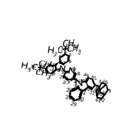 CC(C)(C)c1ccc2c(c1)c1cc(C(C)(C)C)ccc1n2-c1ccc(-n2c3ccccc3c3cc(C45CC6CC(CC(C6)C4)C5)ccc32)cn1